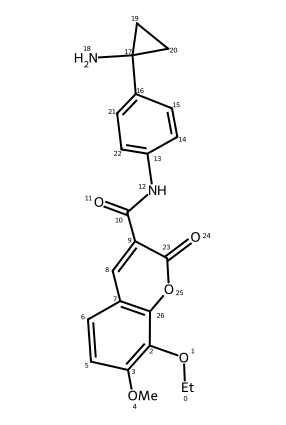 CCOc1c(OC)ccc2cc(C(=O)Nc3ccc(C4(N)CC4)cc3)c(=O)oc12